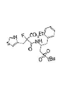 CCOC(=O)C(F)(Cc1cscn1)C(=O)NC(Cc1ccccc1)CS(=O)(=O)C(C)(C)C